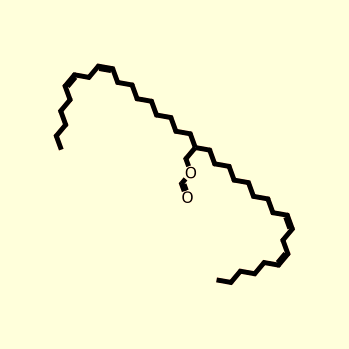 CCCCC/C=C\C/C=C\CCCCCCCCC(CCCCCCCC/C=C\C/C=C\CCCCC)COC=O